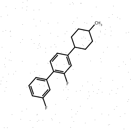 CC1CCC(c2ccc(-c3cccc(F)c3)c(F)c2)CC1